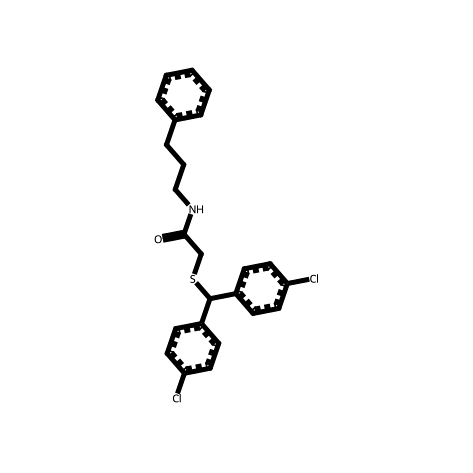 O=C(CSC(c1ccc(Cl)cc1)c1ccc(Cl)cc1)NCCCc1ccccc1